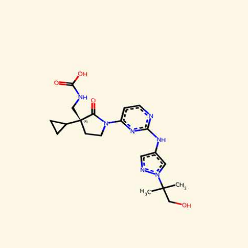 CC(C)(CO)n1cc(Nc2nccc(N3CC[C@](CNC(=O)O)(C4CC4)C3=O)n2)cn1